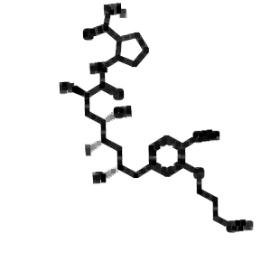 COCCCOc1cc(C[C@@H](C[C@H](I)[C@@H](O)C[C@H](C(=O)NC2CCCC2C(N)=O)C(C)C)C(C)C)ccc1OC